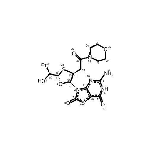 CC[C@H](O)[C@H]1O[C@@H](n2c(=O)sc3c(=O)[nH]c(N)nc32)[C@H](CC(=O)N2CCOCC2)S1